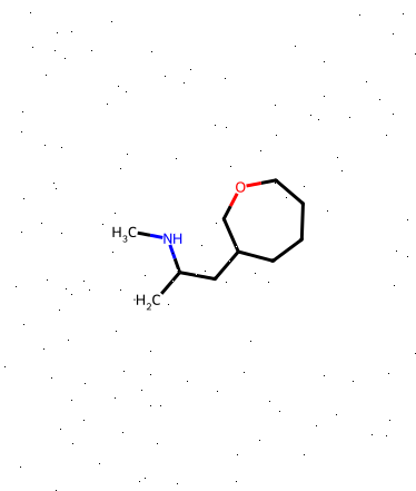 [CH2]C(CC1CCCCOC1)NC